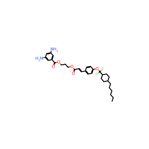 CCCCCCC1CCC(C(F)(F)Oc2ccc(/C=C/C(=O)OCCCOC(=O)c3cc(N)cc(N)c3)cc2)CC1